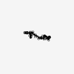 CC(C)(C)OC(=O)Nc1cc(N2CCC3(CC2)COC3)cnc1C(=O)NCCOCCNCC(=O)N1CCN(C(=O)c2cc(Cc3n[nH]c(=O)c4ccccc34)ccc2F)CC1